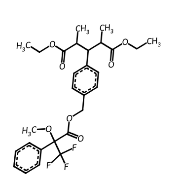 CCOC(=O)C(C)C(c1ccc(COC(=O)C(OC)(c2ccccc2)C(F)(F)F)cc1)C(C)C(=O)OCC